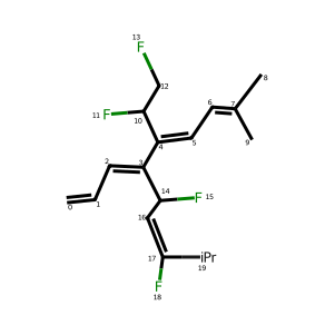 C=C/C=C(/C(=C/C=C(C)C)C(F)CF)C(F)/C=C(/F)C(C)C